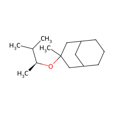 CC(C)[C@H](C)OC1(C)CC2CCCC(C2)C1